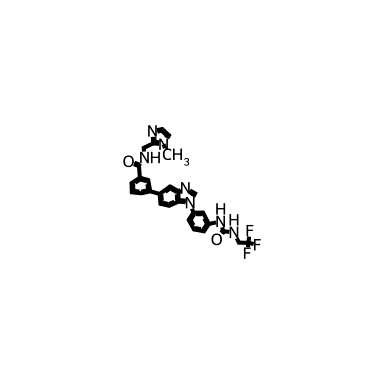 Cn1ccnc1CNC(=O)c1cccc(-c2ccc3c(c2)ncn3-c2cccc(NC(=O)NCC(F)(F)F)c2)c1